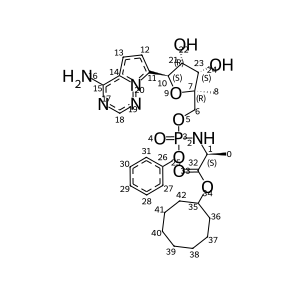 C[C@H](NP(=O)(OC[C@@]1(C)O[C@@H](c2ccc3c(N)ncnn23)[C@H](O)[C@@H]1O)Oc1ccccc1)C(=O)OC1CCCCCCC1